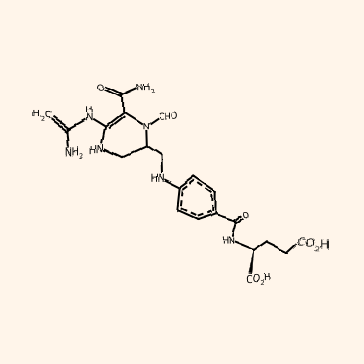 C=C(N)NC1=C(C(N)=O)N(C=O)C(CNc2ccc(C(=O)N[C@@H](CCC(=O)O)C(=O)O)cc2)CN1